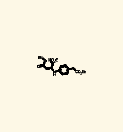 CCOC(=O)Cc1ccc(NC(=CC(=O)OC(C)CC)CC(=O)O)cc1